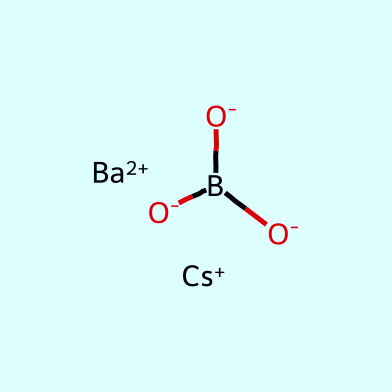 [Ba+2].[Cs+].[O-]B([O-])[O-]